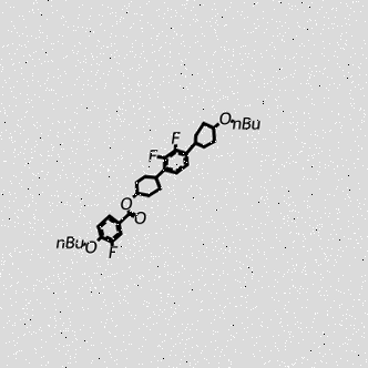 CCCCOc1ccc(C(=O)OC2CCC(c3ccc(C4CCC(OCCCC)CC4)c(F)c3F)CC2)cc1F